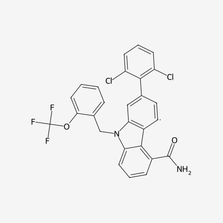 NC(=O)c1cccc2c1c1[c]cc(-c3c(Cl)cccc3Cl)cc1n2Cc1ccccc1OC(F)(F)F